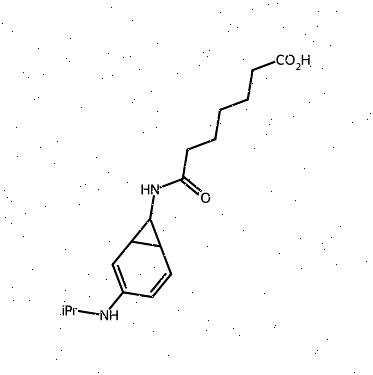 CC(C)NC1=CC2C(C=C1)C2NC(=O)CCCCCC(=O)O